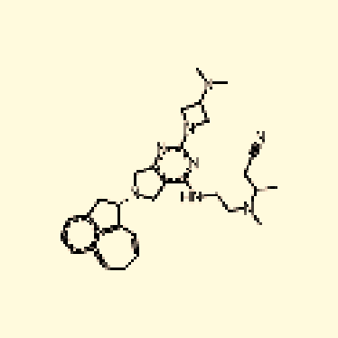 C[C@H](CC#N)N(C)CCNc1nc(N2CC(N(C)C)C2)nc2c1CN([C@H]1Cc3cccc4c3=C1C=CCC=4)C2